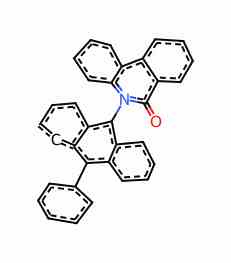 O=c1c2ccccc2c2ccccc2n1-c1c2ccccc2c(-c2ccccc2)c2ccccc12